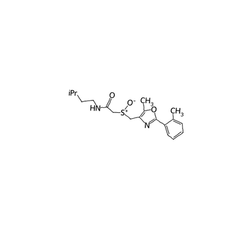 Cc1ccccc1-c1nc(C[S+]([O-])CC(=O)NCCC(C)C)c(C)o1